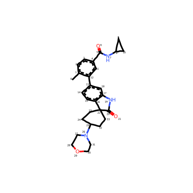 Cc1ccc(C(=O)NC2CC2)cc1-c1ccc2c(c1)NC(=O)C21CCC(N2CCOCC2)CC1